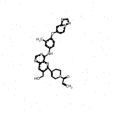 C=CC(=O)N1CC=C(c2nc3c(Nc4ccc(Oc5ccn6ncnc6c5)c(C)c4)ncnc3cc2CO)CC1